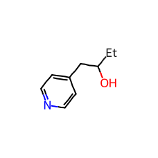 CCC(O)Cc1ccncc1